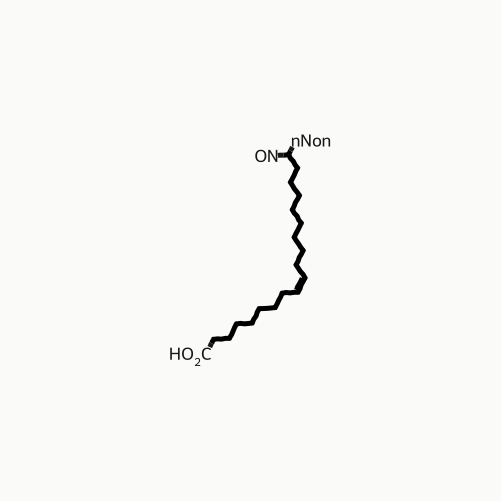 CCCCCCCCCC(CCCCCCCC/C=C\CCCCCCCC(=O)O)N=O